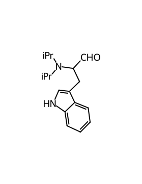 CC(C)N(C(C)C)C(C=O)Cc1c[nH]c2ccccc12